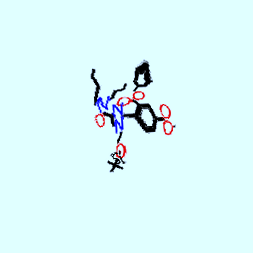 CCCCN(CCCC)C(=O)c1cn(CCO[Si](C)(C)C(C)(C)C)c(-c2ccc(C(=O)OC)cc2C(=O)OCc2ccccc2)n1